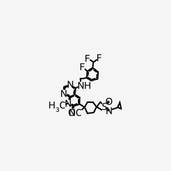 Cn1c(=O)c(C2(C#N)CCC3(CC2)CS(=O)(=NC2CC2)C3)cc2c(NCc3cccc(C(F)F)c3F)ncnc21